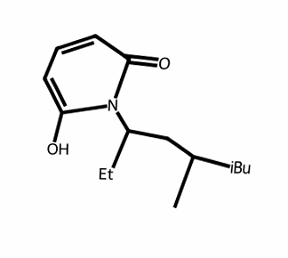 CCC(C)C(C)CC(CC)n1c(O)cccc1=O